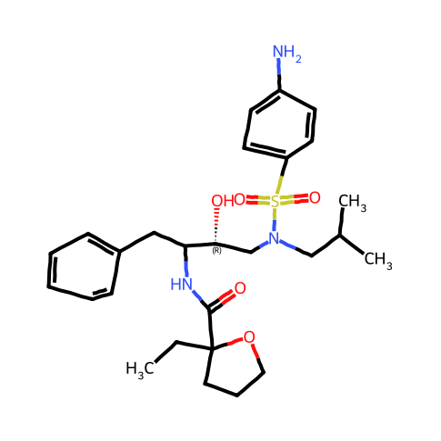 CCC1(C(=O)NC(Cc2ccccc2)[C@H](O)CN(CC(C)C)S(=O)(=O)c2ccc(N)cc2)CCCO1